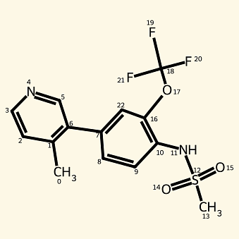 Cc1ccncc1-c1ccc(NS(C)(=O)=O)c(OC(F)(F)F)c1